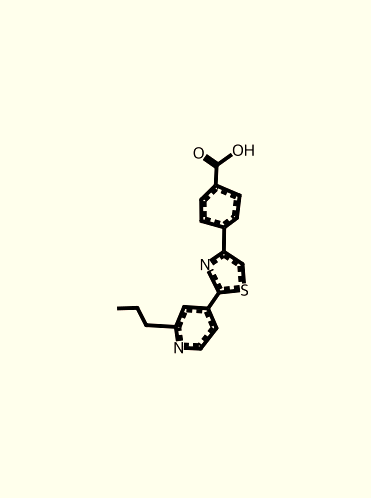 CCCc1cc(-c2nc(-c3ccc(C(=O)O)cc3)cs2)ccn1